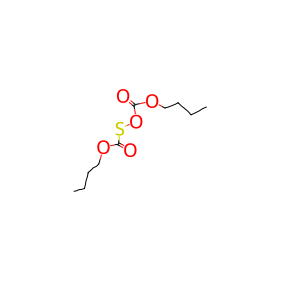 CCCCOC(=O)OSC(=O)OCCCC